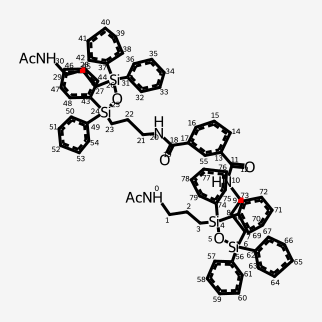 CC(=O)NCCC[Si](O[Si](CCCNC(=O)c1cccc(C(=O)NCCC[Si](O[Si](CCCNC(C)=O)(c2ccccc2)c2ccccc2)(c2ccccc2)c2ccccc2)c1)(c1ccccc1)c1ccccc1)(c1ccccc1)c1ccccc1